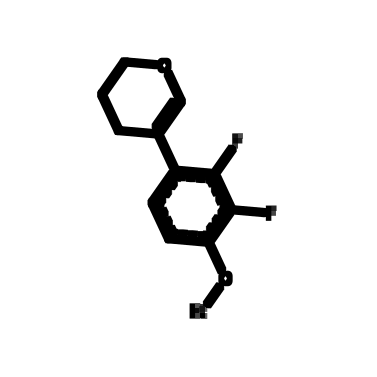 CCOc1ccc(C2=COCCC2)c(F)c1F